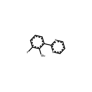 CC(C)(C)c1c(F)cccc1-c1ncccn1